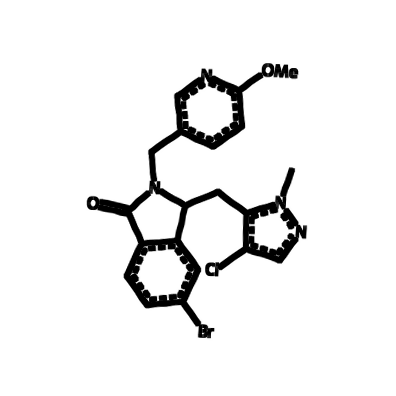 COc1ccc(CN2C(=O)c3ccc(Br)cc3C2Cc2c(Cl)cnn2C)cn1